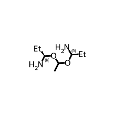 CC[C@H](N)OC(C)O[C@@H](N)CC